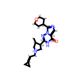 CC1CN(CC=C2CC2)CC1c1nn2c(C3CCOCC3)ncc2c(=O)[nH]1